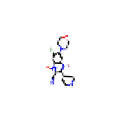 N#Cc1c(-c2ccncc2)[n+]([O-])c2cc(N3CCOCC3)c(F)cc2[n+]1[O-]